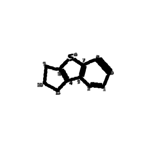 c1ccc2c3c(sc2c#1)CCC3